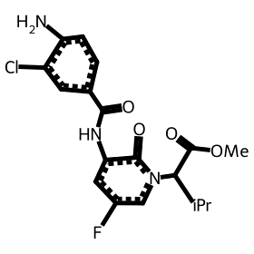 COC(=O)C(C(C)C)n1cc(F)cc(NC(=O)c2ccc(N)c(Cl)c2)c1=O